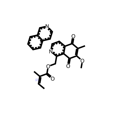 C/C=C(/C)C(=O)OCc1nccc2c1C(=O)C(OC)=C(C)C2=O.c1ccc2cnccc2c1